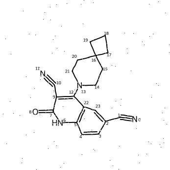 N#Cc1ccc2[nH]c(=O)c(C#N)c(N3CCC4(CCC4)CC3)c2c1